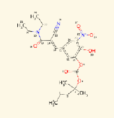 CCCC(C)(C)OC(=O)Oc1cc(/C=C(\C#N)C(=O)N(CC)CC)cc([N+](=O)[O-])c1O